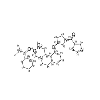 CN(C)C(=O)[C@H]1CCCC[C@H]1C(=O)N1CCc2cccc(O[C@H]3CCN(C(=O)c4cncs4)C3)c2C1CN